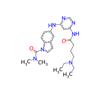 CCN(CC)CCCC(=O)Nc1cc(Nc2ccc3c(ccn3C(=O)N(C)C)c2)ncn1